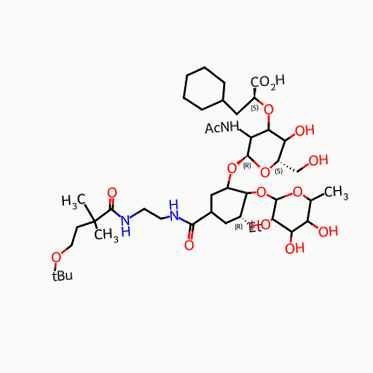 CC[C@@H]1CC(C(=O)NCCNC(=O)C(C)(C)CCOC(C)(C)C)CC(O[C@@H]2O[C@@H](CO)C(O)C(O[C@@H](CC3CCCCC3)C(=O)O)C2NC(C)=O)C1OC1OC(C)C(O)C(O)C1O